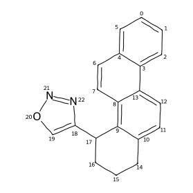 c1ccc2c(c1)ccc1c3c(ccc12)CCCC3c1conn1